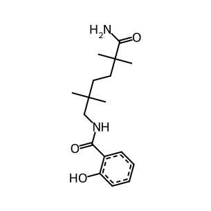 CC(C)(CCC(C)(C)C(N)=O)CNC(=O)c1ccccc1O